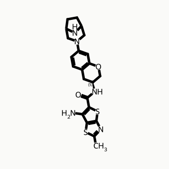 Cc1nc2sc(C(=O)N[C@@H]3COc4cc(N5CC6CCC(C5)N6)ccc4C3)c(N)c2s1